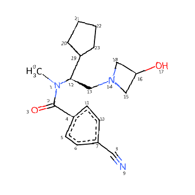 CN(C(=O)c1ccc(C#N)cc1)[C@H](CN1CC(O)C1)C1CCCC1